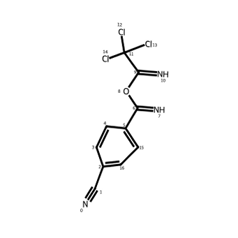 N#Cc1ccc(C(=N)OC(=N)C(Cl)(Cl)Cl)cc1